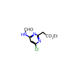 CCOC(=O)Cc1nc(Cl)cc(NC=O)n1